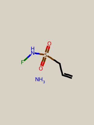 C=CCS(=O)(=O)NF.N